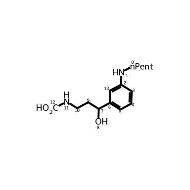 CCCCCNc1cccc(C(O)CCNC(=O)O)c1